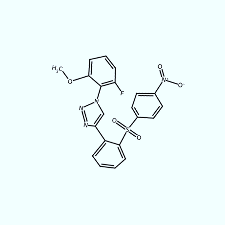 COc1cccc(F)c1-n1cc(-c2ccccc2S(=O)(=O)c2ccc([N+](=O)[O-])cc2)nn1